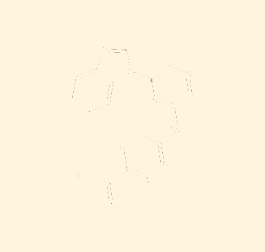 CC(=NO)c1ccc(Nc2cncc(-n3c(C)nc4ccccc43)n2)cc1